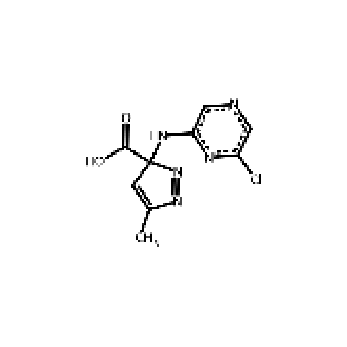 CC1=CC(Nc2cncc(Cl)n2)(C(=O)O)N=N1